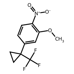 COc1cc(C2(C(F)(F)F)CC2)ccc1[N+](=O)[O-]